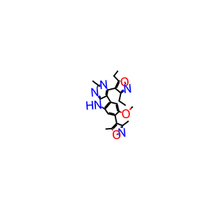 CCc1noc(CC)c1-c1nc(C)nc2[nH]c3cc(-c4c(C)noc4C)c(OC)cc3c12